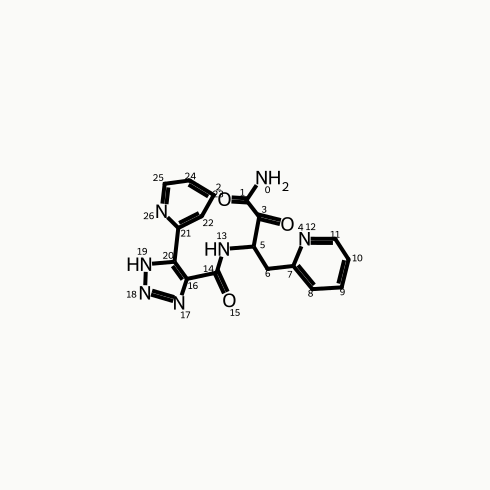 NC(=O)C(=O)C(Cc1ccccn1)NC(=O)c1nn[nH]c1-c1ccccn1